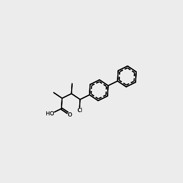 CC(C(=O)O)C(C)C(Cl)c1ccc(-c2ccccc2)cc1